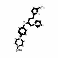 Cc1ccc(CCC(Cn2ccnc2)Oc2ccc(N3CCN(C=O)CC3)cc2)s1